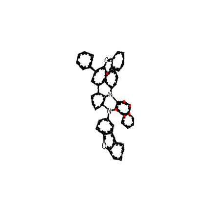 c1ccc(-c2cc(-c3cccc(N(c4ccccc4)c4ccc5oc6ccccc6c5c4)c3N(c3ccccc3)c3ccc4ccccc4c3)cc3c2oc2ccccc23)cc1